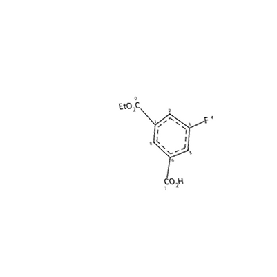 CCOC(=O)c1cc(F)cc(C(=O)O)c1